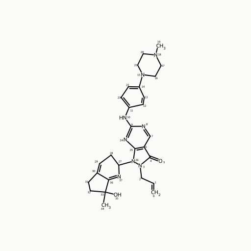 C=CCn1c(=O)c2cnc(Nc3ccc(N4CCN(C)CC4)cc3)nc2n1C1CC=C2CCC(C)(O)C2=N1